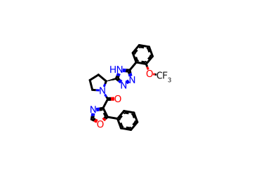 O=C(c1ncoc1-c1ccccc1)N1CCC[C@H]1c1nnc(-c2ccccc2OC(F)(F)F)[nH]1